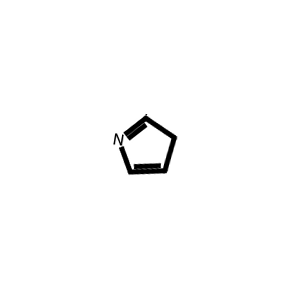 [C]1=NC=CC1